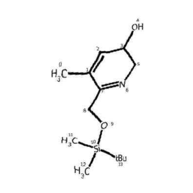 CC1=CC(O)CN=C1CO[Si](C)(C)C(C)(C)C